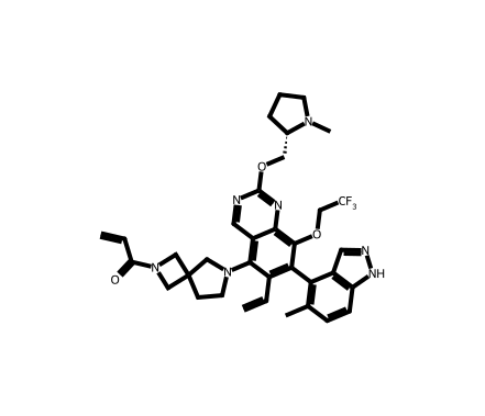 C=CC(=O)N1CC2(CCN(c3c(C=C)c(-c4c(C)ccc5[nH]ncc45)c(OCC(F)(F)F)c4nc(OC[C@@H]5CCCN5C)ncc34)C2)C1